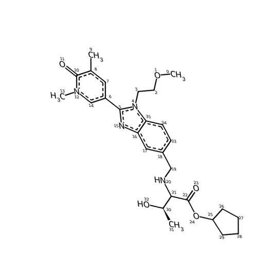 COCCn1c(-c2cc(C)c(=O)n(C)c2)nc2cc(CNC(C(=O)OC3CCCC3)[C@@H](C)O)ccc21